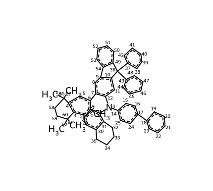 Cc1cc2c(cc1-c1cc3c(cc1N(c1ccc(-c4ccccc4)cc1)c1cccc4c1CCCC4)C(c1ccccc1)(c1ccccc1)c1ccccc1-3)C(C)(C)CCC2(C)C